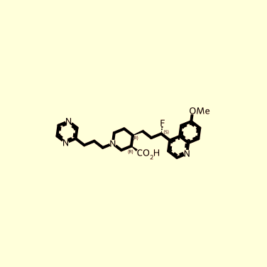 COc1ccc2nccc([C@@H](F)CC[C@@H]3CCN(CCCc4cnccn4)C[C@@H]3C(=O)O)c2c1